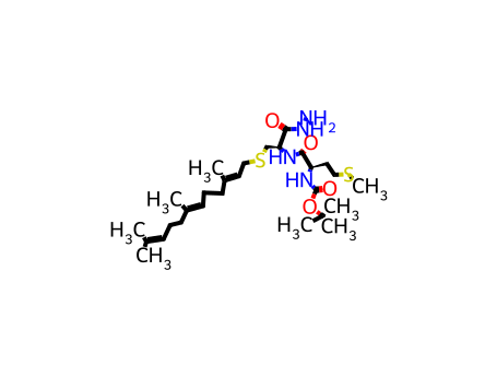 CSCC[C@@H](NC(=O)OC(C)(C)C)C(=O)N[C@@H](CSC/C=C(\C)CC/C=C(\C)CCC=C(C)C)C(=O)NN